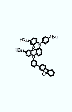 CC(C)(C)c1ccc(N2c3ccc(C(C)(C)C)cc3B3c4cc(C(C)(C)C)ccc4N(c4cccc(-c5ccc6c(c5)oc5ccccc56)c4)c4cccc2c43)cc1